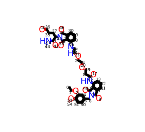 CCOc1cc(CN2C(=O)c3cccc(NC(=O)CCOCCOCCNc4cccc5c4C(=O)N(C(CCC=O)C(=O)NC)C5=O)c3C2=O)ccc1OC